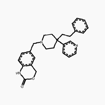 O=C1Nc2ccc(CN3CCC(CCc4ccccc4)(c4cccnc4)CC3)cc2CO1